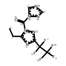 CCc1nc(C(F)(F)C(F)(F)F)nn1C(=O)n1cncn1